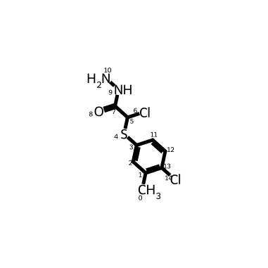 Cc1cc(SC(Cl)C(=O)NN)ccc1Cl